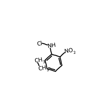 CC.O=[N+]([O-])c1ccccc1NCl